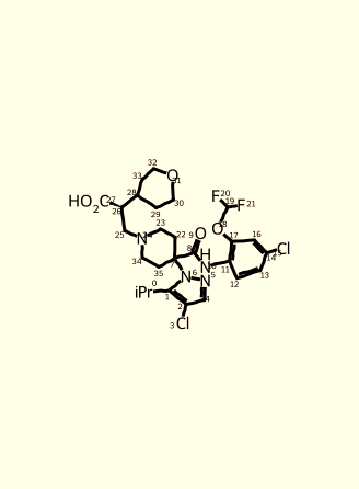 CC(C)c1c(Cl)cnn1C1(C(=O)Nc2ccc(Cl)cc2OC(F)F)CCN(C[C@@H](C(=O)O)C2CCOCC2)CC1